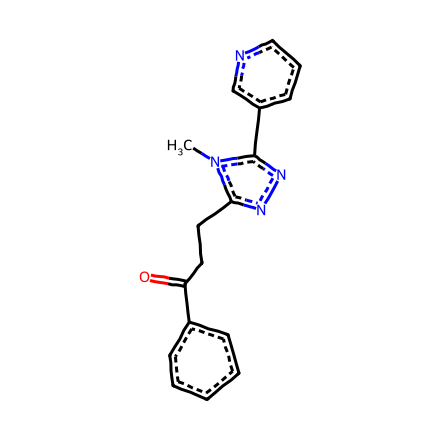 Cn1c(CCC(=O)c2ccccc2)nnc1-c1cccnc1